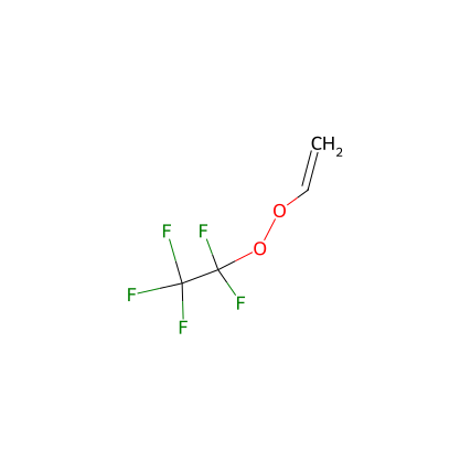 C=COOC(F)(F)C(F)(F)F